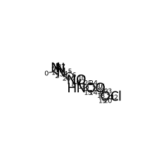 Cc1cn([C@H]2CCN(CC(=O)Nc3ccc(Oc4cccc(Cl)c4)cc3)C2)nn1